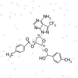 Cc1ccc(C(=O)O[C@H]2C[C@H](n3nc(C(F)(F)F)c4c(N)ncnc43)O[C@@H]2COC(O)c2ccc(C)cc2)cc1